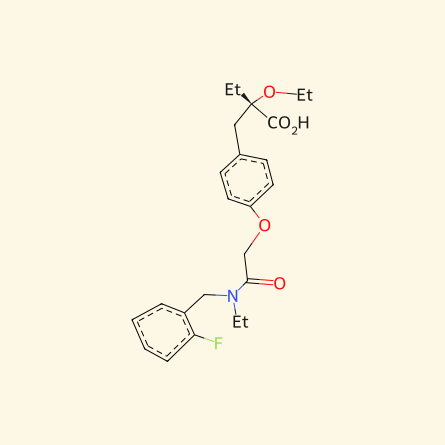 CCO[C@@](CC)(Cc1ccc(OCC(=O)N(CC)Cc2ccccc2F)cc1)C(=O)O